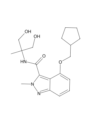 Cn1nc2cccc(OCC3CCCC3)c2c1C(=O)NC(C)(CO)CO